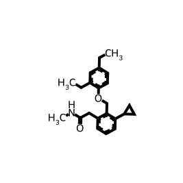 CCc1ccc(OCc2c(CC(=O)NC)cccc2C2CC2)c(CC)c1